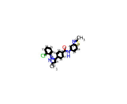 Cc1nc2cc(NC(=O)c3ccc(-c4cc(C(F)(F)F)nn4-c4ccccc4Cl)cc3)ccc2s1